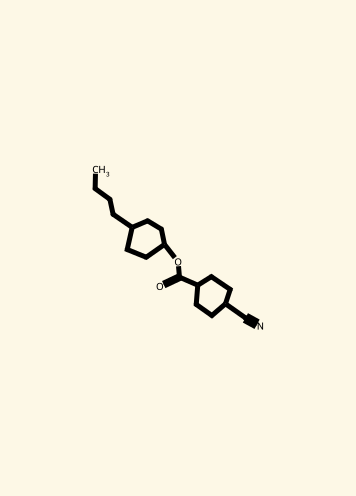 CCCCC1CCC(OC(=O)C2CCC(C#N)CC2)CC1